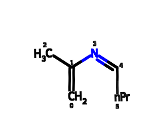 C=C(C)/N=C\CCC